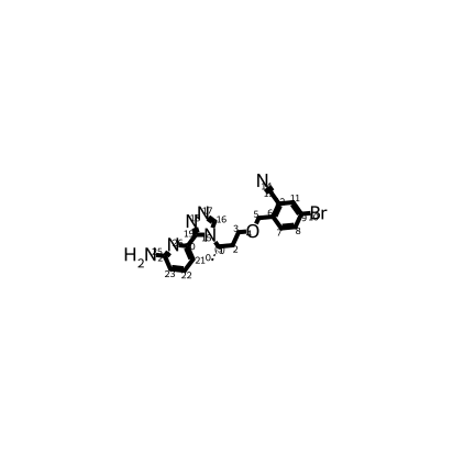 C[C@@H](CCOCc1ccc(Br)cc1C#N)n1cnnc1-c1cccc(N)n1